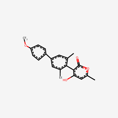 CCc1cc(-c2ccc(OC(F)(F)F)cc2)cc(C)c1-c1c(O)cc(C)oc1=O